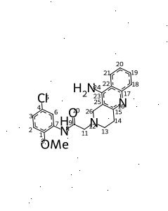 COc1ccc(Cl)cc1NC(=O)CN1CCc2nc3ccccc3c(N)c2C1